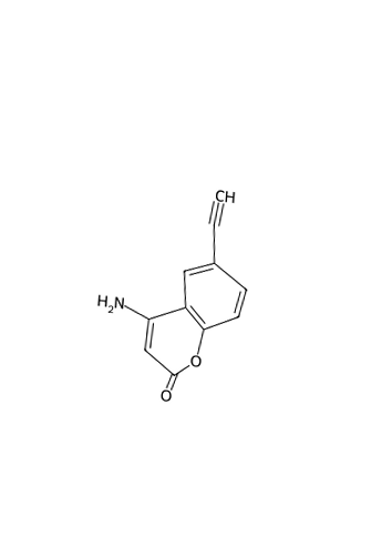 C#Cc1ccc2oc(=O)cc(N)c2c1